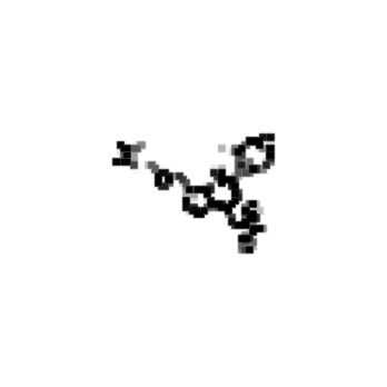 C[C@@H]1COCCN1c1cc(CS(C)(=O)=O)c2ccn(COCC[Si](C)(C)C)c2n1